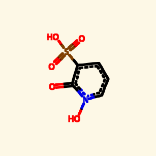 O=c1c(S(=O)(=O)O)cccn1O